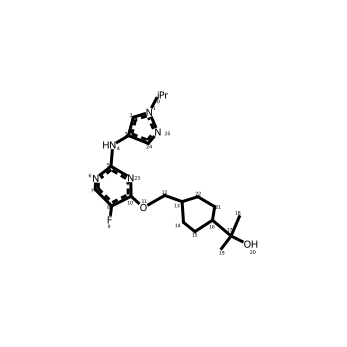 CC(C)n1cc(Nc2ncc(F)c(OCC3CCC(C(C)(C)O)CC3)n2)cn1